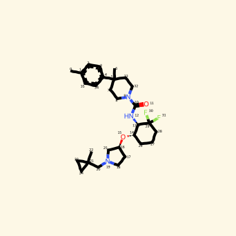 Cc1ccc(C2(C)CCN(C(=O)N[C@@H]3[C@@H](O[C@H]4CCN(CC5(C)CC5)C4)CCCC3(F)F)CC2)cc1